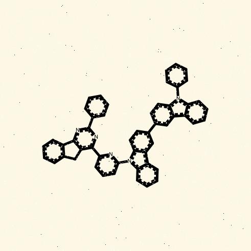 c1ccc(-c2nc(-c3cccc(-n4c5ccccc5c5cc(-c6ccc7c(c6)c6ccccc6n7-c6ccccc6)ccc54)n3)c3c(n2)-c2ccccc2C3)cc1